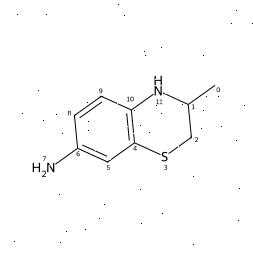 CC1CSc2cc(N)ccc2N1